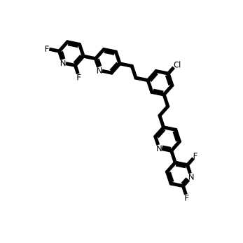 Fc1ccc(-c2ccc(CCc3cc(Cl)cc(CCc4ccc(-c5ccc(F)nc5F)nc4)c3)cn2)c(F)n1